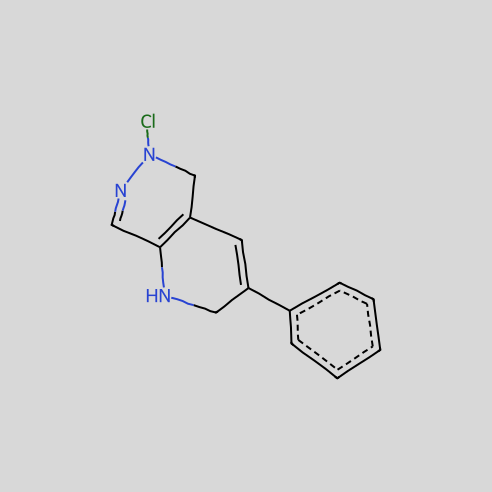 ClN1CC2=C(C=N1)NCC(c1ccccc1)=C2